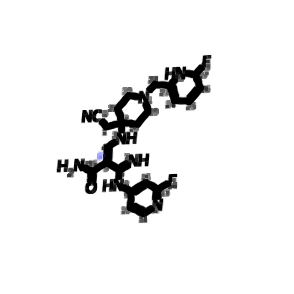 N#CCC1(N/C=C(\C(=N)Nc2ccnc(F)c2)C(N)=O)CCN(CC2=CC=CC(F)N2)CC1